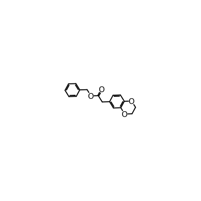 O=C(Cc1ccc2c(c1)OCCO2)OCc1ccccc1